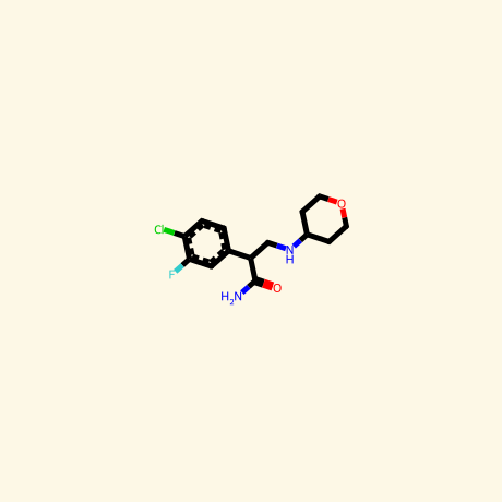 NC(=O)C(CNC1CCOCC1)c1ccc(Cl)c(F)c1